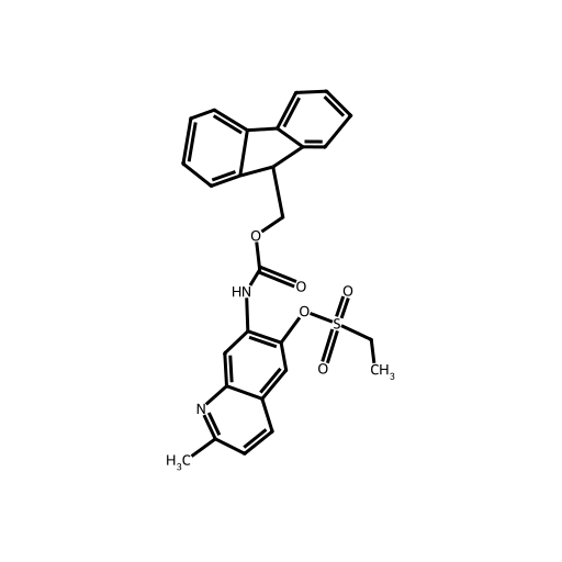 CCS(=O)(=O)Oc1cc2ccc(C)nc2cc1NC(=O)OCC1c2ccccc2-c2ccccc21